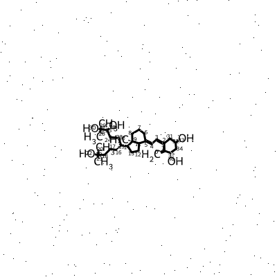 C=C1/C(=C\C=C2/CCC[C@@]3(C)C2CCC3[C@@H](CCCC(C)(C)O)CCC(O)C(C)(C)O)CC(O)C[C@@H]1O